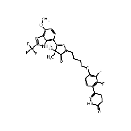 COc1ccc(C2=NN(CCCCOc3ccc(C4=NNC(=O)CC4)c(F)c3F)C(=O)C2(C)C)c2[nH]c(C(F)(F)F)nc12